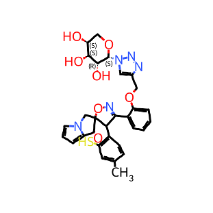 Cc1ccc(C2C(c3ccccc3OCc3cn([C@H]4OC[C@H](O)[C@H](O)[C@H]4O)nn3)=NOC23Cn2cccc2C3=O)c(S)c1